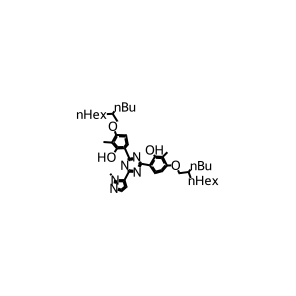 CCCCCCC(CCCC)COc1ccc(-c2nc(-c3ccc(OCC(CCCC)CCCCCC)c(C)c3O)nc(-c3ccnn3C)n2)c(O)c1C